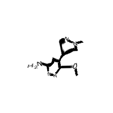 COc1nnc(N)cc1-c1cnn(C)c1